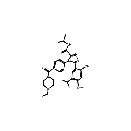 CCN1CCN(C(=O)c2ccc(-n3c(C(=O)NC(C)C)nnc3-c3cc(C(C)C)c(OC)cc3O)cc2)CC1